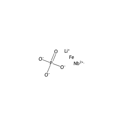 O=P([O-])([O-])[O-].[Fe].[Li+].[Nb+2]